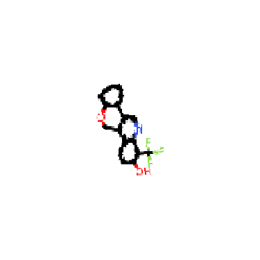 Oc1ccc2c3c(cnc2c1C(F)(F)F)-c1ccccc1OC3